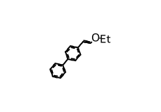 CCOC=Cc1ccc(-c2ccccc2)cc1